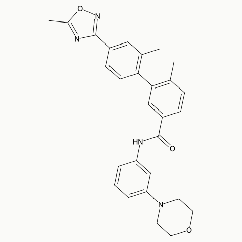 Cc1nc(-c2ccc(-c3cc(C(=O)Nc4cccc(N5CCOCC5)c4)ccc3C)c(C)c2)no1